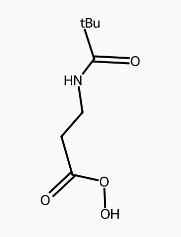 CC(C)(C)C(=O)NCCC(=O)OO